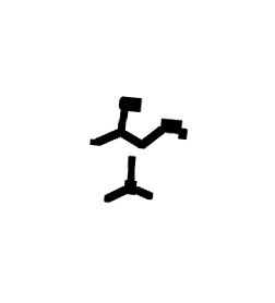 CN(C)C.[CH2]C(O)CN